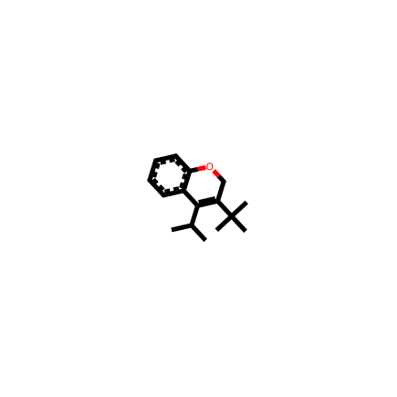 CC(C)C1=C(C(C)(C)C)COc2ccccc21